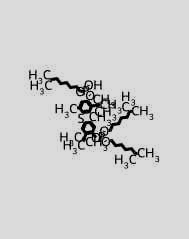 Cc1cc(OP(O)OCCCCCC(C)C)c(C(C)(C)C)cc1Sc1cc(C(C)(C)C)c(OP(OCCCCCC(C)C)OCCCCCC(C)C)cc1C